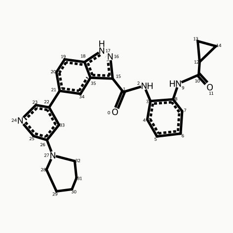 O=C(Nc1ccccc1NC(=O)C1CC1)c1n[nH]c2ccc(-c3cncc(N4CCCCC4)c3)cc12